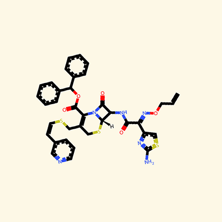 C=CCON=C(C(=O)NC1C(=O)N2C(C(=O)OC(c3ccccc3)c3ccccc3)=C(CS/C=C\c3cccnc3)CS[C@@H]12)c1csc(N)n1